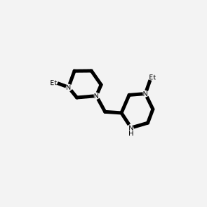 CCN1CCNC(CN2CCCN(CC)C2)C1